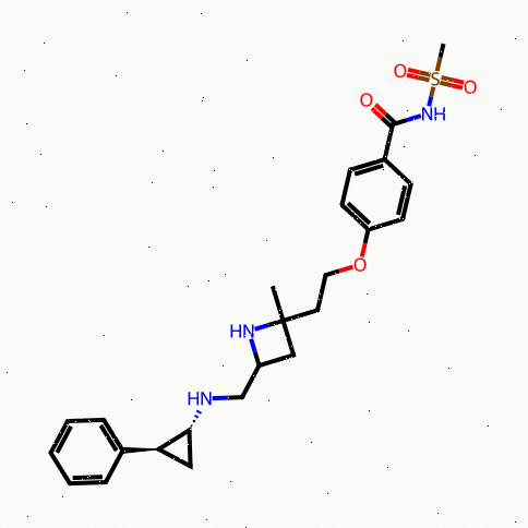 CC1(CCOc2ccc(C(=O)NS(C)(=O)=O)cc2)CC(CN[C@@H]2C[C@H]2c2ccccc2)N1